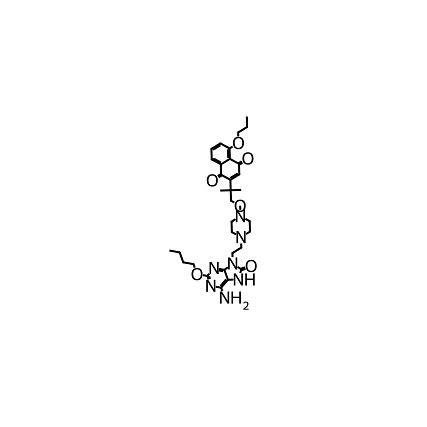 CCCCOc1nc(N)c2[nH]c(=O)n(CCN3CCN(OCC(C)(C)C4=CC(=O)c5c(OCCC)cccc5C4=O)CC3)c2n1